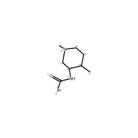 CC(C)C(=O)NC1CN(C)CCC1C